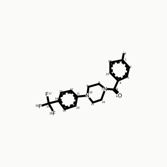 [CH2]c1ccc(C(=O)N2CCN(c3ccc(C(F)(F)F)cc3)CC2)cc1